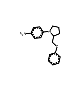 Nc1ccc(N2CCCC2CSc2ccccc2)cc1